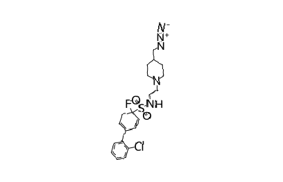 [N-]=[N+]=NCC1CCN(CCNS(=O)(=O)C2(F)C=CC(c3ccccc3Cl)=CC2)CC1